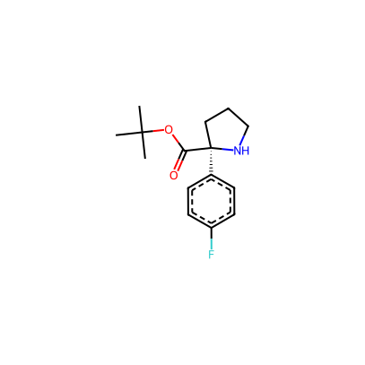 CC(C)(C)OC(=O)[C@@]1(c2ccc(F)cc2)CCCN1